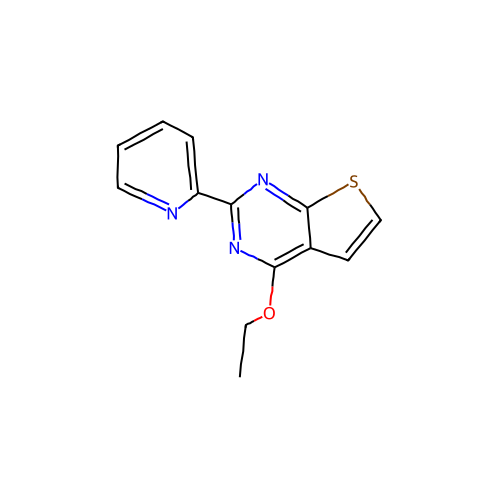 CCOc1nc(-c2ccccn2)nc2sccc12